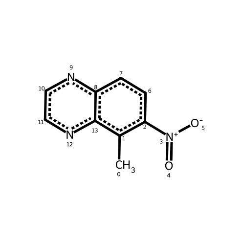 Cc1c([N+](=O)[O-])ccc2nccnc12